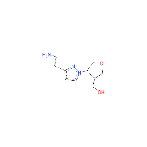 NCCc1ccn(C2COCC2CO)n1